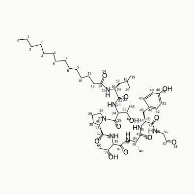 CCCCCCCCCCCCCC(=O)N[C@@H](CC(C)C)C(=O)NC(C(=O)N1CCC[C@@H]1C(=O)NC(C(=O)N[C@@H](C)C(=O)N[C@@H](Cc1ccc(O)cc1)C(=O)NCC=O)C(C)O)C(C)O